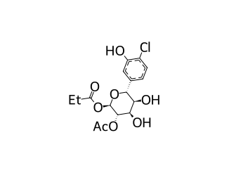 CCC(=O)O[C@H]1O[C@H](c2ccc(Cl)c(O)c2)[C@@H](O)[C@@H](O)[C@@H]1OC(C)=O